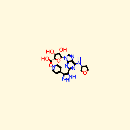 O=C(O)[C@H]1O[C@@H](n2cnc3c(N[C@@H]4CCOC4)nc(-c4[nH]nnc4-c4ccncc4)nc32)[C@@H](O)[C@H]1O